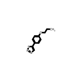 CCCOc1ccc(-c2cnns2)cc1